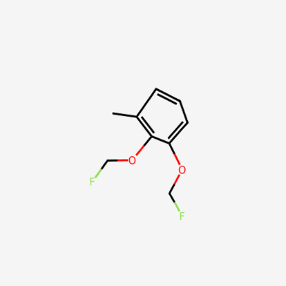 Cc1cccc(OCF)c1OCF